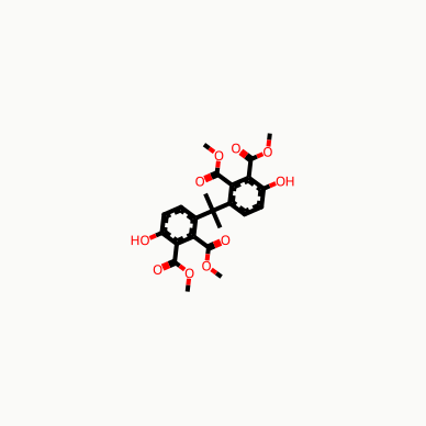 COC(=O)c1c(O)ccc(C(C)(C)c2ccc(O)c(C(=O)OC)c2C(=O)OC)c1C(=O)OC